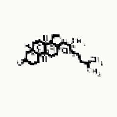 CC(C)CCC[C@@H](C)[C@H]1CC[C@H]2[C@@H]3C=C[C@H]4CC(=O)CC[C@]4(C)[C@H]3CC[C@]12C